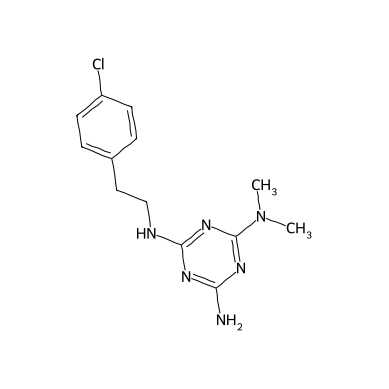 CN(C)c1nc(N)nc(NCCc2ccc(Cl)cc2)n1